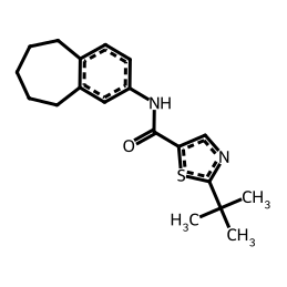 CC(C)(C)c1ncc(C(=O)Nc2ccc3c(c2)CCCCC3)s1